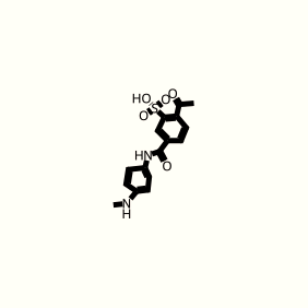 CNc1ccc(NC(=O)c2ccc(C(C)=O)c(S(=O)(=O)O)c2)cc1